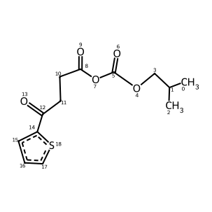 CC(C)COC(=O)OC(=O)CCC(=O)c1cccs1